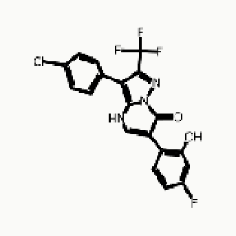 O=c1c(-c2ccc(F)cc2O)c[nH]c2c(-c3ccc(Cl)cc3)c(C(F)(F)F)nn12